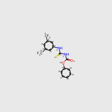 O=C(NC(=S)Nc1cc(C(F)(F)F)cc(C(F)(F)F)c1)Oc1ccccc1